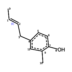 C/C=C/Cc1ccc(O)c(C)c1